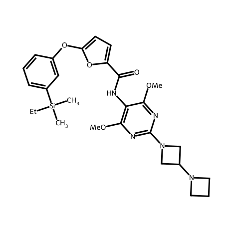 CC[Si](C)(C)c1cccc(Oc2ccc(C(=O)Nc3c(OC)nc(N4CC(N5CCC5)C4)nc3OC)o2)c1